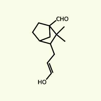 CC1(C)C(CC=CO)C2CCC1(C=O)C2